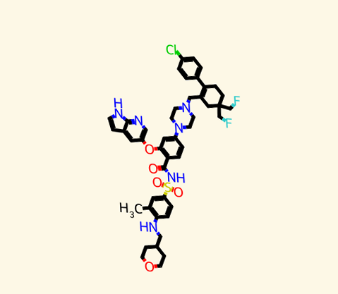 Cc1cc(S(=O)(=O)NC(=O)c2ccc(N3CCN(CC4=C(c5ccc(Cl)cc5)CCC(CF)(CF)C4)CC3)cc2Oc2cnc3[nH]ccc3c2)ccc1NCC1CCOCC1